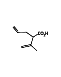 C=CCC(C(=C)C)C(=O)O